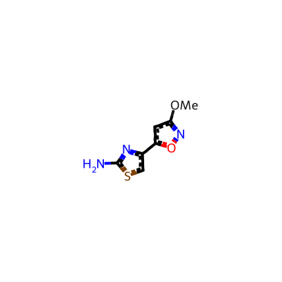 COc1cc(-c2csc(N)n2)on1